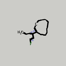 C=C/C=C(\C=C\F)C1=C/CCCCCCCC\1